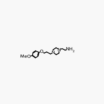 COc1ccc(OCCCN2CCN(CCN)CC2)cc1